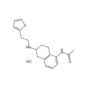 CC(=O)Nc1cccc2c1CCC(NCCc1ccco1)C2.Cl